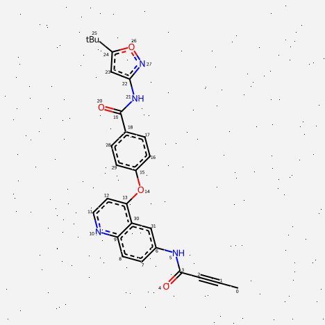 CC#CC(=O)Nc1ccc2nccc(Oc3ccc(C(=O)Nc4cc(C(C)(C)C)on4)cc3)c2c1